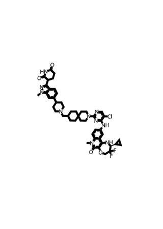 Cn1nc(C2CCC(=O)NC2=O)c2ccc(C3CCN(CC4CCC5(CC4)CCN(c4ncc(Cl)c(Nc6ccc7c(c6)c6c(c(=O)n7C)OCC(F)(F)[C@H](C7CC7)N6)n4)CC5)CC3)cc21